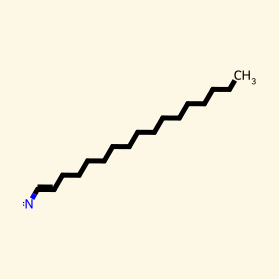 CCCCCCCCCCCCCCCC=C[N]